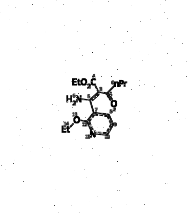 CCCC(=O)C(C(=O)OCC)=C(N)c1cccnc1OCC